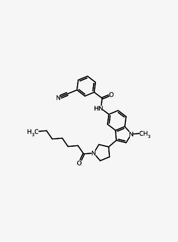 CCCCCCC(=O)N1CCC(c2cn(C)c3ccc(NC(=O)c4cccc(C#N)c4)cc23)C1